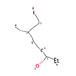 CCC([O])CCC(C)CI